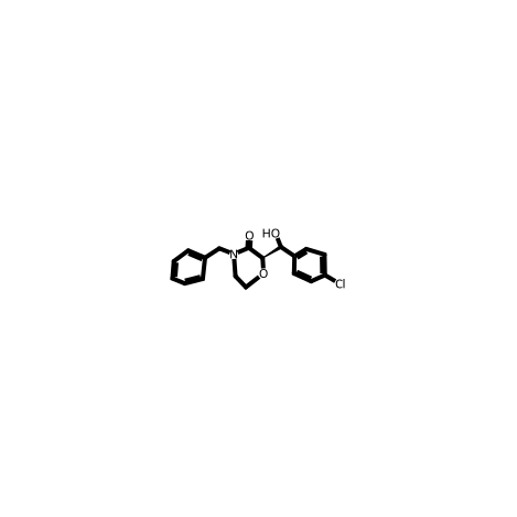 O=C1[C@@H](C(O)c2ccc(Cl)cc2)OCCN1Cc1ccccc1